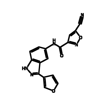 N#Cc1cc(C(=O)Nc2ccc3[nH]nc(-c4ccoc4)c3c2)no1